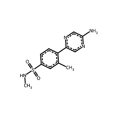 CNS(=O)(=O)c1ccc(-c2cnc(N)cn2)c(C)c1